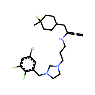 C=C=C(CC1CCC(C)(F)CC1)NCCCN1CCN(Cc2cc(Cl)cc(F)c2F)C1